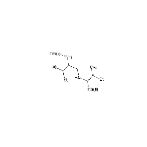 CCCCCCNC(CNC(C(=O)O)C(O)CC)C(O)CC